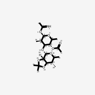 CC(=N)O[C@H]1OC(C)[C@H](OC(C)=O)C(O[C@@H]2OC(C)[C@H](C)C3OC(C)(C)O[C@@H]32)[C@H]1C